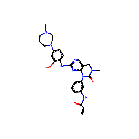 C=CC(=O)Nc1cccc(N2C(=O)N(C)Cc3cnc(Nc4ccc(N5CCCN(C)CC5)cc4OC)nc32)c1